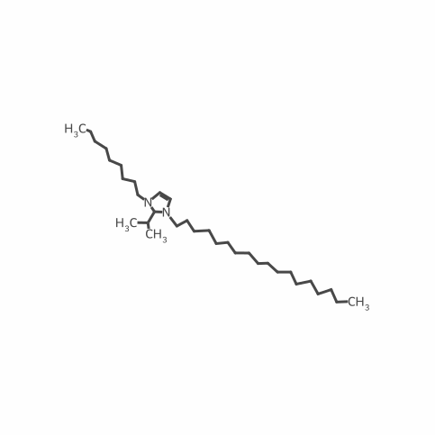 CCCCCCCCCCCCCCCCCCN1C=CN(CCCCCCCCC)C1C(C)C